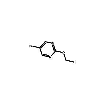 ClCOc1ncc(Br)cn1